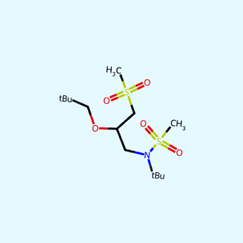 CC(C)(C)COC(CN(C(C)(C)C)S(C)(=O)=O)CS(C)(=O)=O